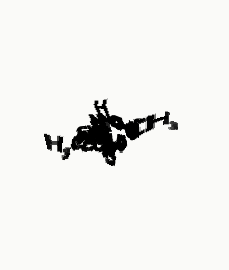 CN1CC=CC(c2ccc(Nc3ncc4cc(C(=O)N(C)C)c(=O)n(Cc5ccsc5C5=CCCC5)c4n3)cc2)C1